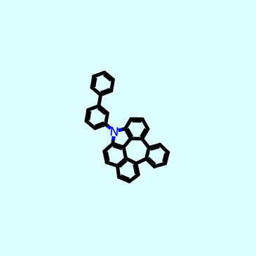 c1ccc(-c2cccc(-n3c4cccc5c4c4c6c(cccc6ccc43)-c3ccccc3-5)c2)cc1